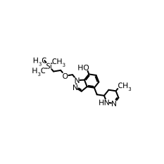 CC1C=NNC(Cc2ccc(O)c3c2cnn3COCC[Si](C)(C)C)C1